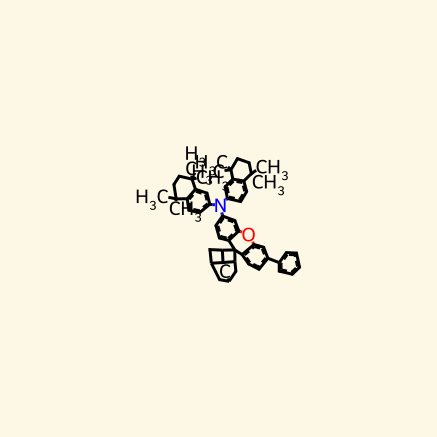 CC1(C)CCC(C)(C)c2cc(N(c3ccc4c(c3)Oc3cc(-c5ccccc5)ccc3C43C4CC5CC6CC3C64C5)c3ccc4c(c3)C(C)(C)CCC4(C)C)ccc21